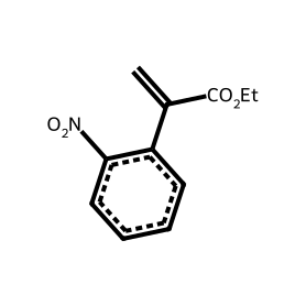 C=C(C(=O)OCC)c1ccccc1[N+](=O)[O-]